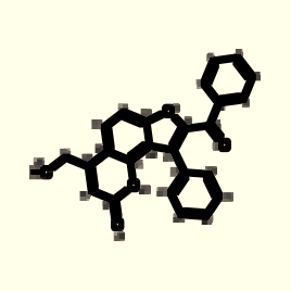 O=C(c1ccccc1)c1oc2ccc3c(CO)cc(=O)oc3c2c1-c1ccccc1